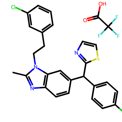 Cc1nc2ccc(C(c3ccc(Cl)cc3)c3nccs3)cc2n1CCc1cccc(Cl)c1.O=C(O)C(F)(F)F